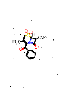 CO[C@H]1C(=O)N2C(C(=O)c3ccccc3)=C(C)CS(=O)(=O)[C@H]12